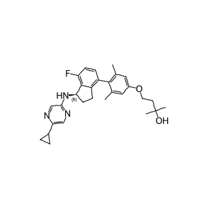 Cc1cc(OCCC(C)(C)O)cc(C)c1-c1ccc(F)c2c1CC[C@H]2Nc1cnc(C2CC2)cn1